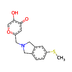 CSc1ccc2c(c1)CN(Cc1cc(=O)c(O)co1)C2